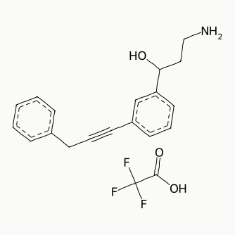 NCCC(O)c1cccc(C#CCc2ccccc2)c1.O=C(O)C(F)(F)F